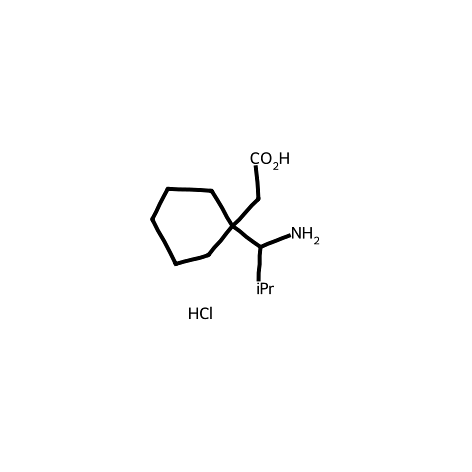 CC(C)C(N)C1(CC(=O)O)CCCCC1.Cl